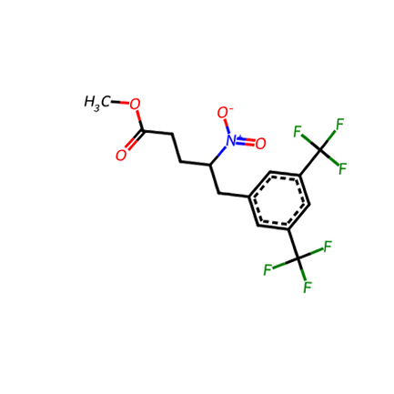 COC(=O)CCC(Cc1cc(C(F)(F)F)cc(C(F)(F)F)c1)[N+](=O)[O-]